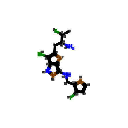 C[C@H](F)[C@H](N)Cc1sc2c(NCc3sccc3F)snc2c1Br